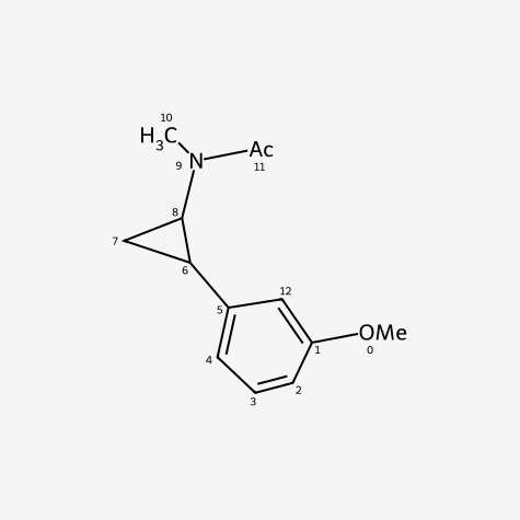 COc1cccc(C2CC2N(C)C(C)=O)c1